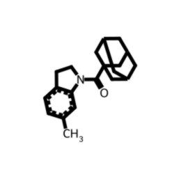 Cc1ccc2c(c1)N(C(=O)C13CC4CC(CC(C4)C1)C3)CC2